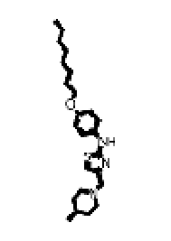 CCCCCCCCOc1ccc(Nc2nc(CN3CCC(C)CC3)cs2)cc1